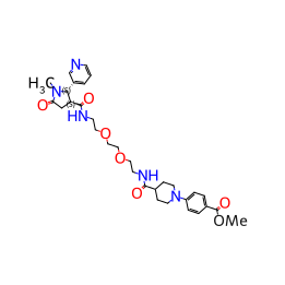 COC(=O)c1ccc(N2CCC(C(=O)NCCOCCOCCNC(=O)[C@H]3CC(=O)N(C)[C@@H]3c3cccnc3)CC2)cc1